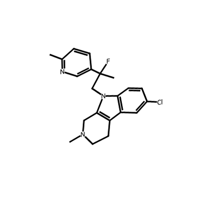 Cc1ccc(C(C)(F)Cn2c3c(c4cc(Cl)ccc42)CCN(C)C3)cn1